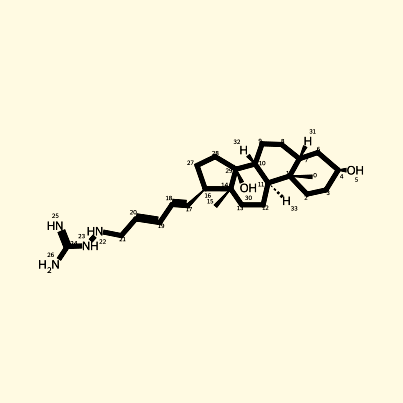 C[C@]12CC[C@H](O)C[C@H]1CC[C@@H]1[C@@H]2CC[C@]2(C)[C@@H](/C=C/C=C/CNNC(=N)N)CC[C@]12O